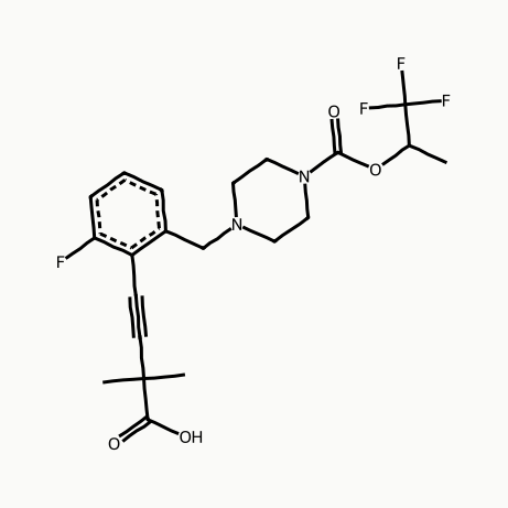 CC(OC(=O)N1CCN(Cc2cccc(F)c2C#CC(C)(C)C(=O)O)CC1)C(F)(F)F